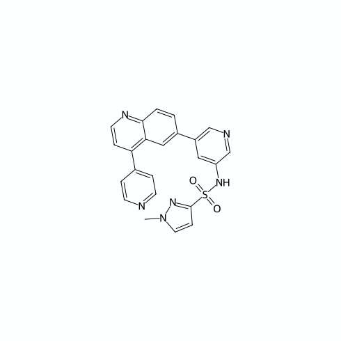 Cn1ccc(S(=O)(=O)Nc2cncc(-c3ccc4nccc(-c5ccncc5)c4c3)c2)n1